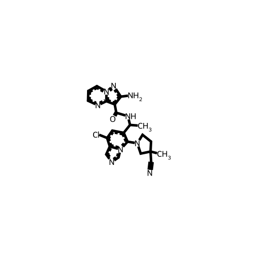 CC(NC(=O)c1c(N)nn2cccnc12)c1cc(Cl)c2cncn2c1N1CCC(C)(C#N)C1